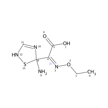 CCO/N=C(\C(=O)O)C1(N)N=CNS1